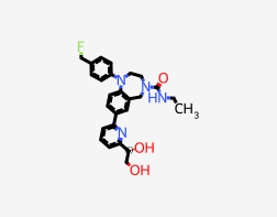 CCNC(=O)N1CCN(c2ccc(CF)cc2)c2ccc(-c3cccc([C@H](O)CO)n3)cc2C1